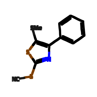 CSc1sc(SC#N)nc1-c1ccccc1